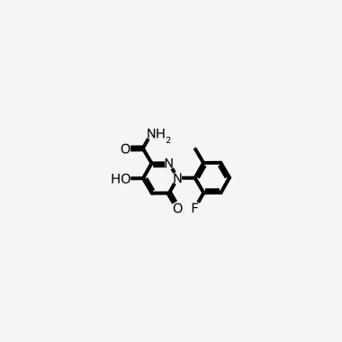 Cc1cccc(F)c1-n1nc(C(N)=O)c(O)cc1=O